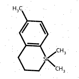 Cc1ccc2c(c1)CCC[Si]2(C)C